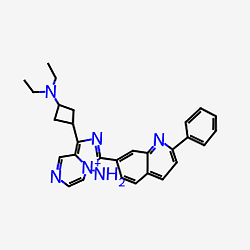 CCN(CC)C1CC(C2=C3C=NC=C[N+]3(N)C(c3ccc4ccc(-c5ccccc5)nc4c3)=N2)C1